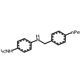 CCCCCc1ccc(CNc2ccc(NC(C)=O)cc2)cc1